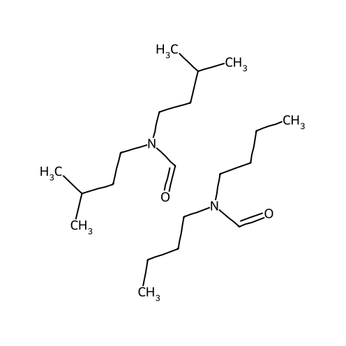 CC(C)CCN(C=O)CCC(C)C.CCCCN(C=O)CCCC